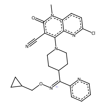 Cn1c(=O)c(C#N)c(N2CCC(/C(=N\OCC3CC3)c3ccccn3)CC2)c2nc(Cl)ccc21